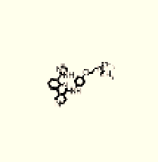 CN(C)CCOc1ccc(Nc2nc3c(-c4nnc[nH]4)cccc3c3cnccc23)cc1